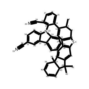 CC1Cc2sc3cc4c(cc3c2C=C1c1cccc(C#N)c1-n1c2ccccc2c2cc(C#N)ccc21)C1(C)C=CC=CC1C4(C)C